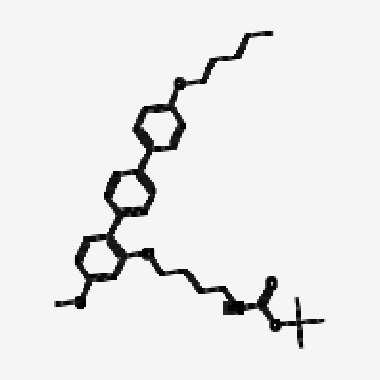 CCCCCOc1ccc(-c2ccc(-c3ccc(OC)cc3OCCCCNC(=O)OC(C)(C)C)cc2)cc1